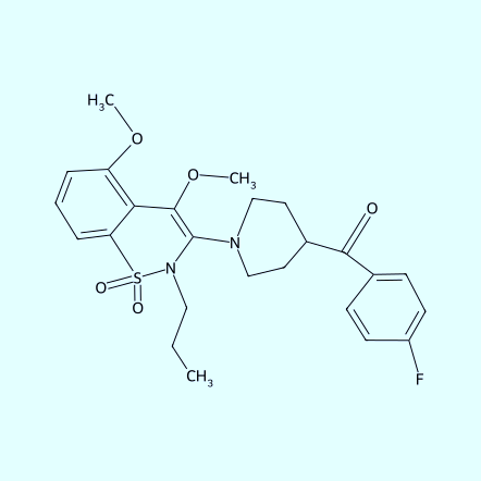 CCCN1C(N2CCC(C(=O)c3ccc(F)cc3)CC2)=C(OC)c2c(OC)cccc2S1(=O)=O